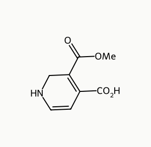 COC(=O)C1=C(C(=O)O)C=CNC1